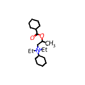 CC[N+](CC)(CC(C)OC(=O)C1CCCCC1)C1CCCCC1